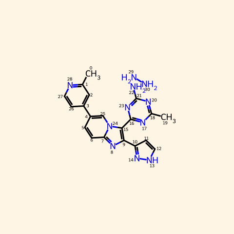 Cc1cc(-c2ccc3nc(-c4cc[nH]n4)c(-c4nc(C)nc(N)n4)n3c2)ccn1.NN